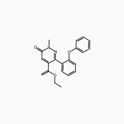 C=C(OCC)c1cc(=O)n(C)nc1-c1ccccc1Oc1ccccc1